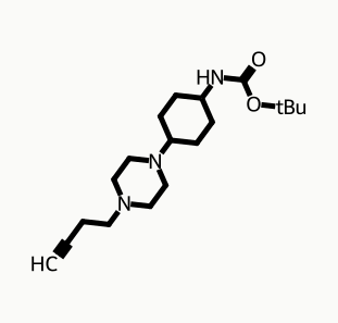 C#CCCN1CCN(C2CCC(NC(=O)OC(C)(C)C)CC2)CC1